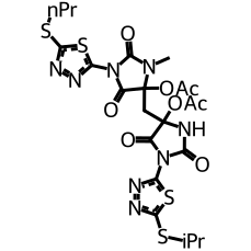 CCCSc1nnc(N2C(=O)N(C)C(CC3(OC(C)=O)NC(=O)N(c4nnc(SC(C)C)s4)C3=O)(OC(C)=O)C2=O)s1